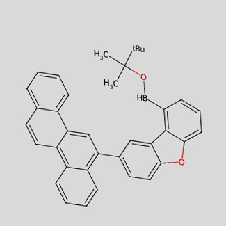 CC(C)(C)C(C)(C)OBc1cccc2oc3ccc(-c4cc5c6ccccc6ccc5c5ccccc45)cc3c12